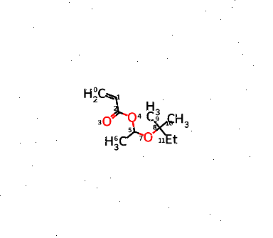 C=CC(=O)OC(C)OC(C)(C)CC